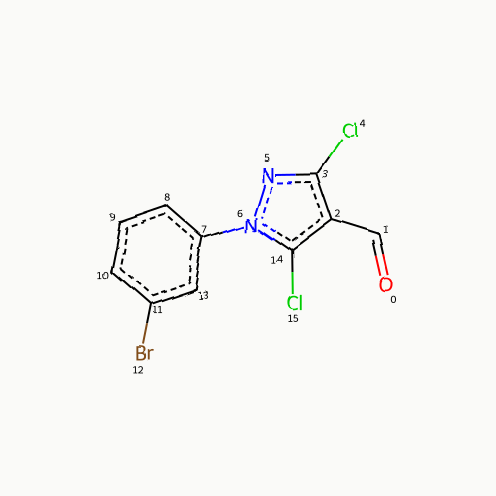 O=Cc1c(Cl)nn(-c2cccc(Br)c2)c1Cl